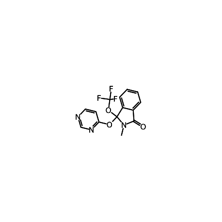 CN1C(=O)c2ccccc2C1(Oc1ccncn1)OC(F)(F)F